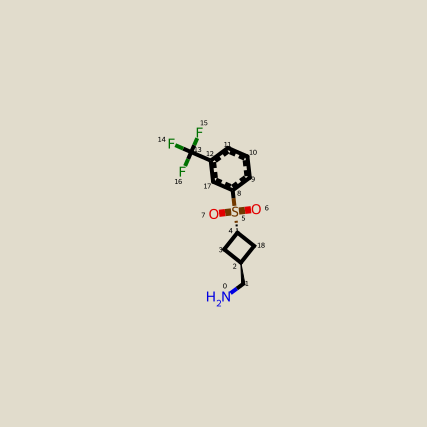 NC[C@H]1C[C@H](S(=O)(=O)c2cccc(C(F)(F)F)c2)C1